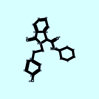 O=C(NC1CCCCC1)C1c2ccccc2C(=O)N1CCc1ccc(Cl)cc1